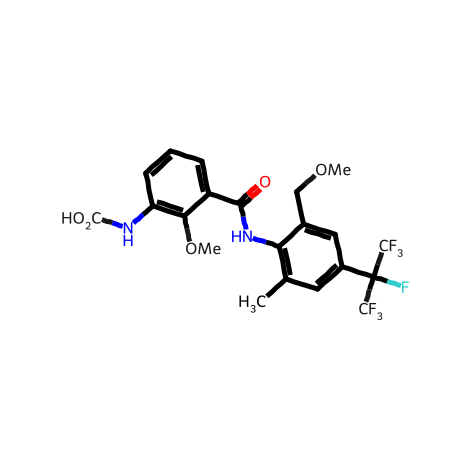 COCc1cc(C(F)(C(F)(F)F)C(F)(F)F)cc(C)c1NC(=O)c1cccc(NC(=O)O)c1OC